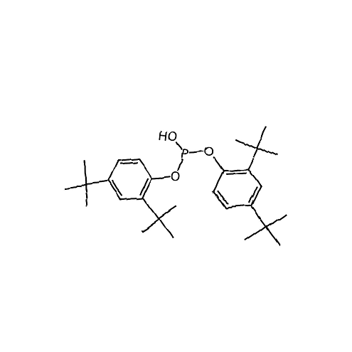 CC(C)(C)c1ccc(OP(O)Oc2ccc(C(C)(C)C)cc2C(C)(C)C)c(C(C)(C)C)c1